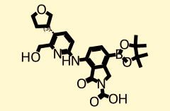 CC1(C)OB(c2ccc(Nc3ccc([C@@H]4CCOC4)c(CO)n3)c3c2CN(C(=O)O)C3=O)OC1(C)C